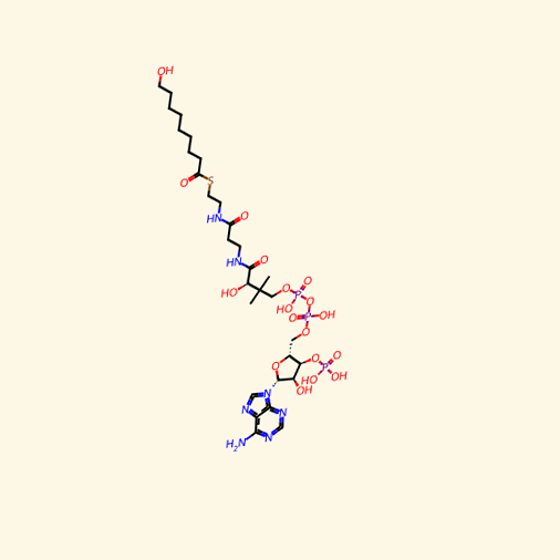 CC(C)(COP(=O)(O)OP(=O)(O)OC[C@H]1O[C@@H](n2cnc3c(N)ncnc32)[C@H](O)[C@@H]1OP(=O)(O)O)[C@@H](O)C(=O)NCCC(=O)NCCSC(=O)CCCCCCCCO